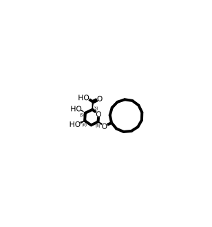 O=C(O)[C@H]1O[C@@H](OC2CCCCCCCCCCCC2)C[C@@H](O)[C@@H]1O